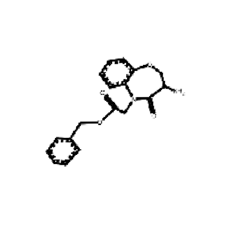 NC1COc2ccccc2N(CC(=O)OCc2ccccc2)C1=O